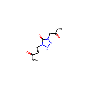 COC(=O)/C=C/N1NNN(CC(=O)OC)C1=O